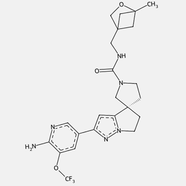 CC12CC(CNC(=O)N3CC[C@@]4(CCn5nc(-c6cnc(N)c(OC(F)(F)F)c6)cc54)C3)(CO1)C2